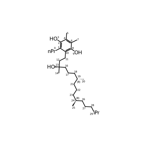 CCCc1c(O)c(C)c(C)c(O)c1CCC(C)(O)CCC[C@H](C)CCC[C@H](C)CCCC(C)C